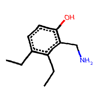 CCc1ccc(O)c(CN)c1CC